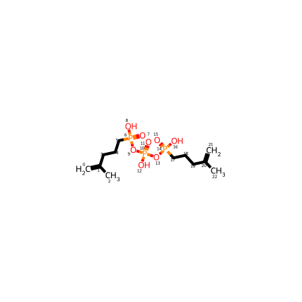 C=C(C)CCCP(=O)(O)OP(=O)(O)OP(=O)(O)CCCC(=C)C